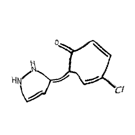 O=C1C=CC(Cl)=C/C1=C1\C=CNN1